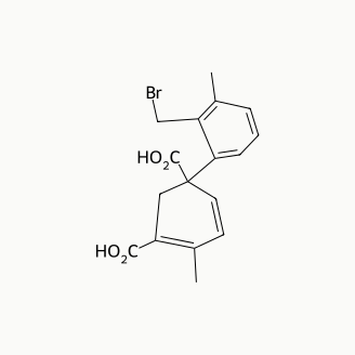 CC1=C(C(=O)O)CC(C(=O)O)(c2cccc(C)c2CBr)C=C1